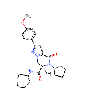 COc1ccc(-c2cc3n(n2)CC(C)(C(=O)NC2CCCCC2)N(C2CCCC2)C3=O)cc1